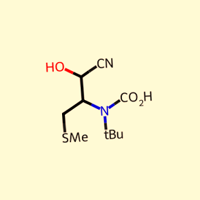 CSCC(C(O)C#N)N(C(=O)O)C(C)(C)C